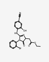 CCOC(=O)CC1N=C(Nc2ccc(C#N)cc2O)N(c2ccccc2Br)C1=O